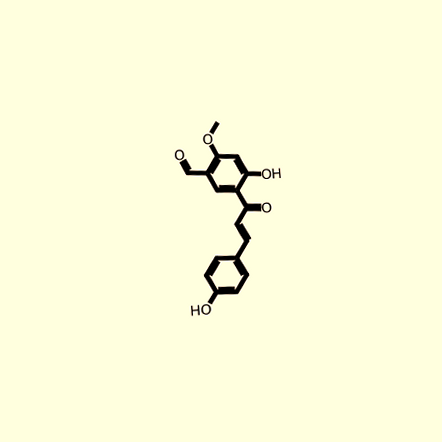 COc1cc(O)c(C(=O)/C=C/c2ccc(O)cc2)cc1C=O